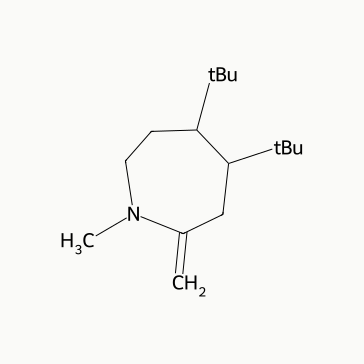 C=C1CC(C(C)(C)C)C(C(C)(C)C)CCN1C